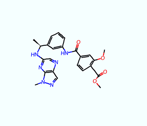 COC(=O)c1ccc(C(=O)Nc2cccc([C@H](C)Nc3cnc4cnn(C)c4n3)c2)cc1OC